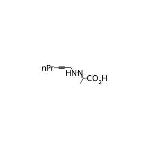 CCCC#CCNN=C(C)C(=O)O